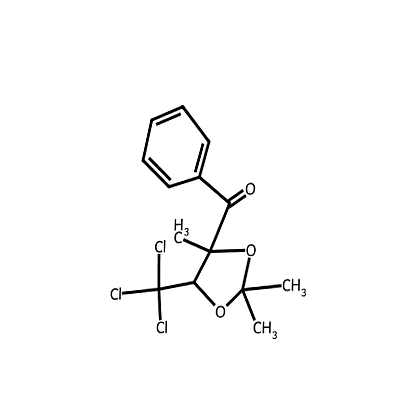 CC1(C)OC(C(Cl)(Cl)Cl)C(C)(C(=O)c2ccccc2)O1